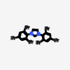 CC(C)c1cc(C(C)C)c(N2C=CN(c3c(C(C)C)cc(C(C)C)cc3C(C)C)C2)c(C(C)C)c1